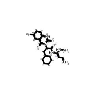 C=C/C=C(\NN)NC(=O)C(CC1CCCCC1)n1c(=O)[nH]c2ccc(F)cc2c1=O